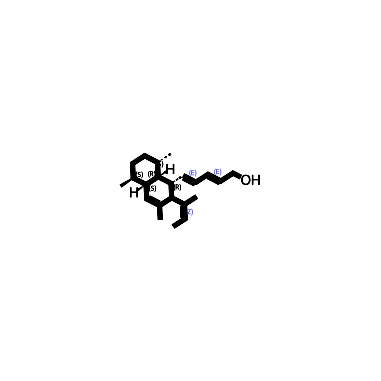 C/C=C(/C)C1C(C)=C[C@@H]2[C@H]([C@@H]1/C=C/C=C/CO)[C@@H](C)CC[C@@H]2C